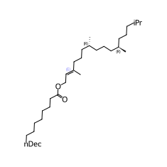 CCCCCCCCCCCCCCCCCC(=O)OC/C=C(\C)CCC[C@H](C)CCC[C@H](C)CCCC(C)C